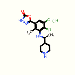 Cc1c(-c2n[nH]c(=O)o2)cc(Cl)c(Cl)c1N[C@@H](C)C1CCNCC1.Cl